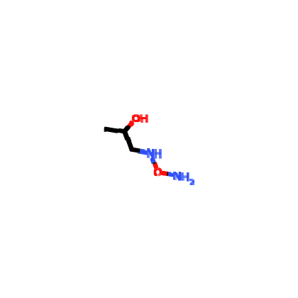 CC(O)CNON